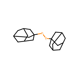 C1C2CC3CC1CC([P][P]C14CC5CC(CC(C5)C1)C4)(C2)C3